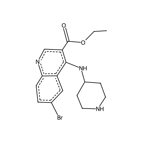 CCOC(=O)c1cnc2ccc(Br)cc2c1NC1CCNCC1